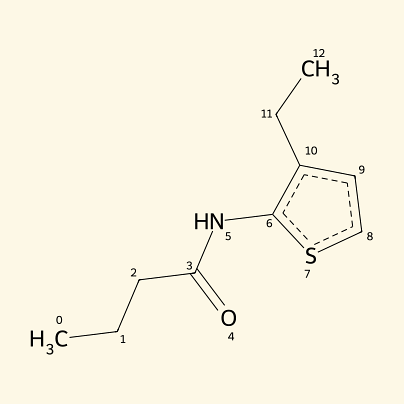 CCCC(=O)Nc1sccc1CC